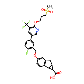 CS(=O)(=O)CCCOc1ncc(-c2ccc(F)c(COc3ccc4c(c3)CC3C(C(=O)O)C43)c2)cc1C(F)(F)F